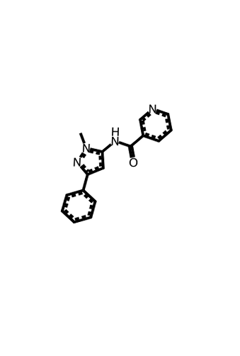 Cn1nc(-c2ccccc2)cc1NC(=O)c1cccnc1